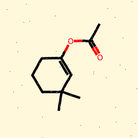 CC(=O)OC1=CC(C)(C)CCC1